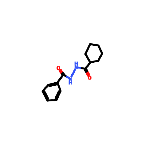 O=C(NNC(=O)C1CCCCC1)c1ccccc1